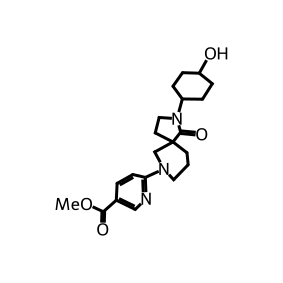 COC(=O)c1ccc(N2CCCC3(CCN(C4CCC(O)CC4)C3=O)C2)nc1